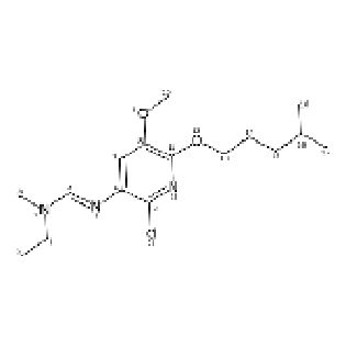 CCN(C)/C=N/c1cc(OC)c(OCCCC(C)C)nc1Cl